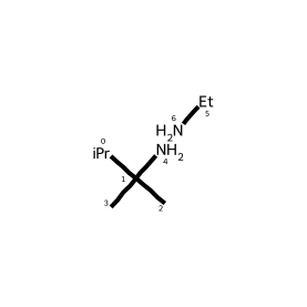 CC(C)C(C)(C)N.CCN